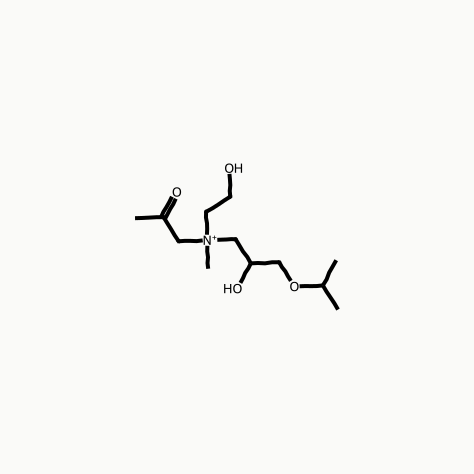 CC(=O)C[N+](C)(CCO)CC(O)COC(C)C